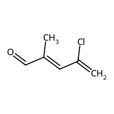 C=C(Cl)/C=C(\C)C=O